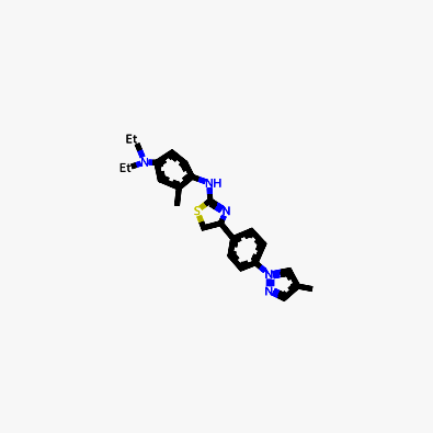 CCN(CC)c1ccc(NC2=NC(c3ccc(-n4cc(C)cn4)cc3)CS2)c(C)c1